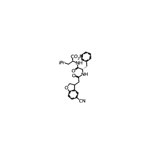 CC(C)C[C@H](NC(=O)[C@H](Cc1ccccc1)NC(=O)CC1COc2ccc(C#N)cc21)C(=O)O